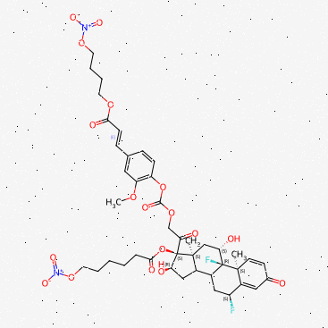 COc1cc(/C=C/C(=O)OCCCCO[N+](=O)[O-])ccc1OC(=O)OCC(=O)[C@@]1(OC(=O)CCCCCO[N+](=O)[O-])[C@H](O)CC2C3C[C@H](F)C4=CC(=O)C=C[C@]4(C)[C@@]3(F)[C@@H](O)C[C@@]21C